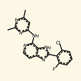 Cc1cc(Nc2nccc3nc(-c4c(F)cccc4Cl)[nH]c23)nc(C)n1